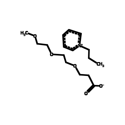 CCC[n+]1ccccc1.COCCOCCOCCC(=O)[O-]